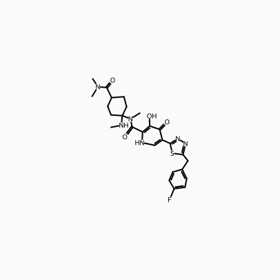 CNC1(N(C)C(=O)c2[nH]cc(-c3nnc(Cc4ccc(F)cc4)s3)c(=O)c2O)CCC(C(=O)N(C)C)CC1